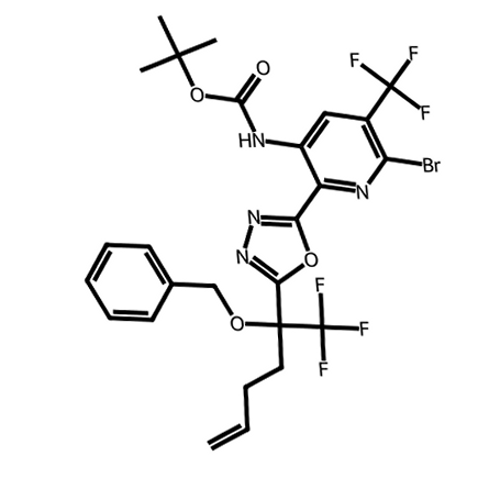 C=CCCC(OCc1ccccc1)(c1nnc(-c2nc(Br)c(C(F)(F)F)cc2NC(=O)OC(C)(C)C)o1)C(F)(F)F